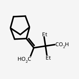 CCC(CC)(C(=O)O)C(C(=O)O)=C1CC2CCC1C2